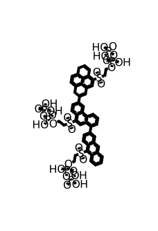 O=P(O)(O)OP(=O)(O)OCCS(=O)(=O)c1cc2c3c(ccc4c3c1C=CC4)CC(c1ccc3c(S(=O)(=O)CCOP(=O)(O)OP(=O)(O)O)cc4c(-c5ccc6c(S(=O)(=O)CCOP(=O)(O)OP(=O)(O)O)c7ccccc7cc6c5)cccc4c3c1)=C2